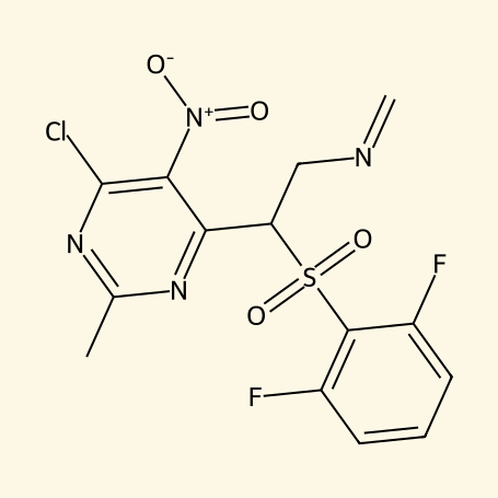 C=NCC(c1nc(C)nc(Cl)c1[N+](=O)[O-])S(=O)(=O)c1c(F)cccc1F